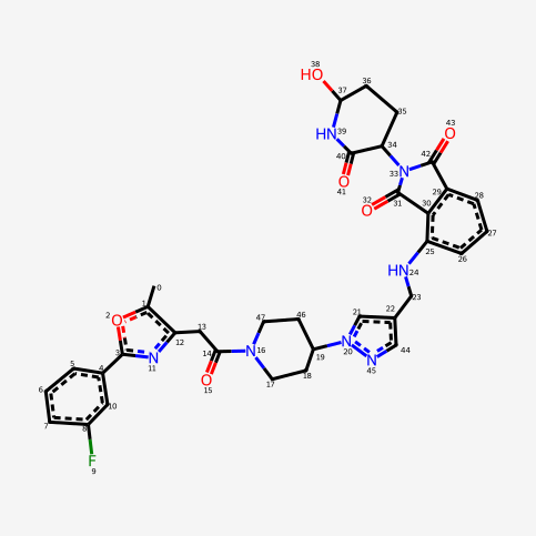 Cc1oc(-c2cccc(F)c2)nc1CC(=O)N1CCC(n2cc(CNc3cccc4c3C(=O)N(C3CCC(O)NC3=O)C4=O)cn2)CC1